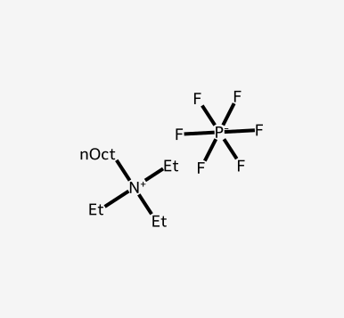 CCCCCCCC[N+](CC)(CC)CC.F[P-](F)(F)(F)(F)F